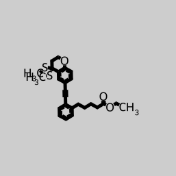 CCOC(=O)CCCCc1ccccc1C#Cc1ccc2c(c1)C(SC)(SC)CCO2